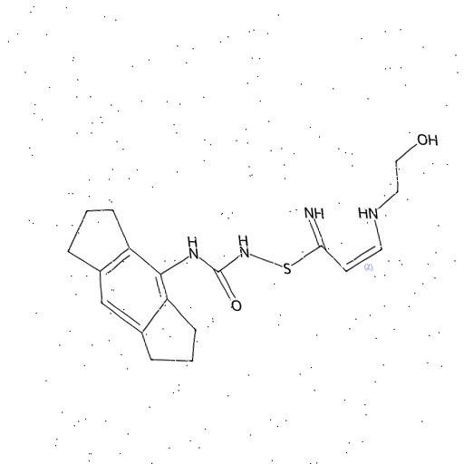 N=C(/C=C\NCCO)SNC(=O)Nc1c2c(cc3c1CCC3)CCC2